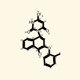 Cc1ccccc1Oc1cc(-n2c(=O)cc(C(F)(F)F)[nH]c2=O)c2ccccc2c1Cl